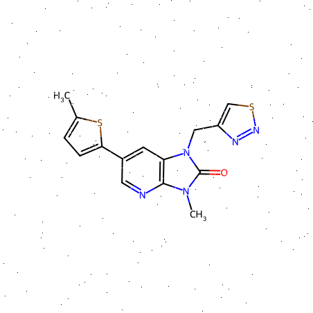 Cc1ccc(-c2cnc3c(c2)n(Cc2csnn2)c(=O)n3C)s1